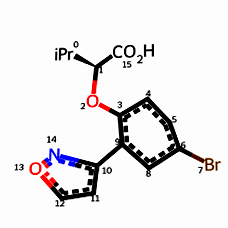 CC(C)[C@H](Oc1ccc(Br)cc1-c1ccon1)C(=O)O